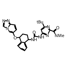 CNC(=O)c1nc(NC(=O)NC2CCC(Oc3ccc4nncn4c3)c3ccccc32)cc(C(C)(C)C)n1